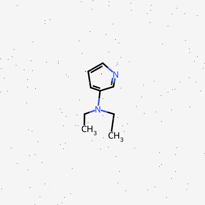 CCN(CC)c1c[c]cnc1